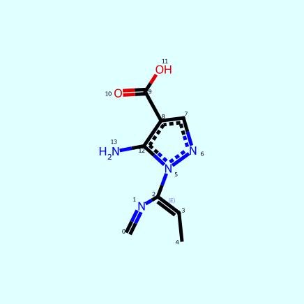 C=N/C(=C\C)n1ncc(C(=O)O)c1N